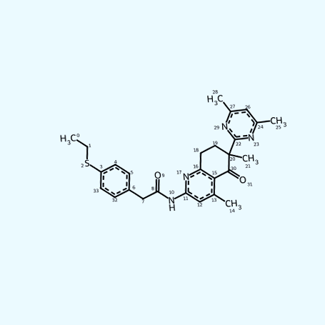 CCSc1ccc(CC(=O)Nc2cc(C)c3c(n2)CCC(C)(c2nc(C)cc(C)n2)C3=O)cc1